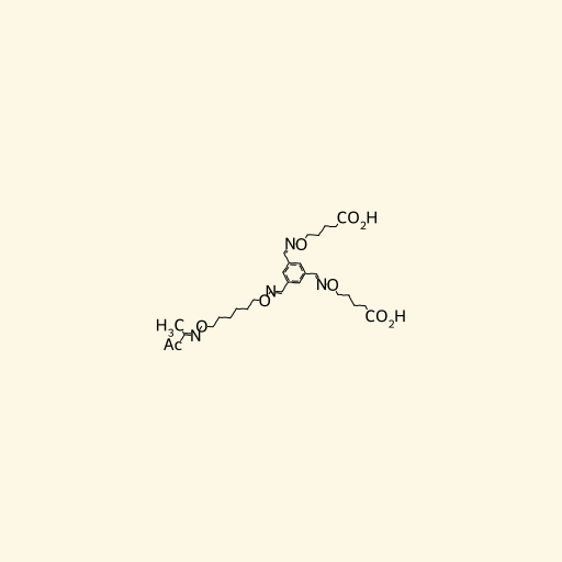 CC(=O)/C(C)=N/OCCCCCCO/N=C/c1cc(/C=N\OCCCCC(=O)O)cc(/C=N/OCCCCC(=O)O)c1